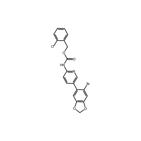 O=C(Nc1ccc(-c2cc3c(cc2Br)OCO3)cn1)OCc1ccccc1Cl